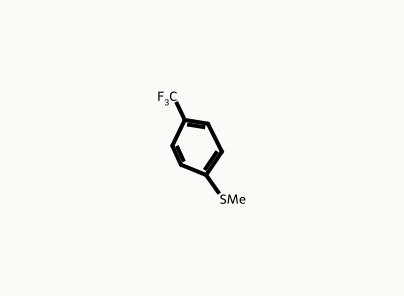 [CH2]Sc1ccc(C(F)(F)F)cc1